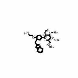 CCCCOCC1O[C@@H](c2ccc(OCCO)c(Cc3cc4ccccc4s3)c2)[C@H](OCCCC)[C@@H](OCCCC)[C@@H]1OCCCC